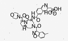 Cc1ccc2onc(C(=O)N3CC[C@H]4CC[C@@H](C(=O)N5CCOCC5)N4C(=O)[C@@H](NC(=O)c4ccc5cnc(CP(=O)(O)O)cc5c4)C3)c2c1